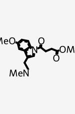 CNCCc1cn(C(=O)CCC(=O)OC)c2ccc(OC)cc12